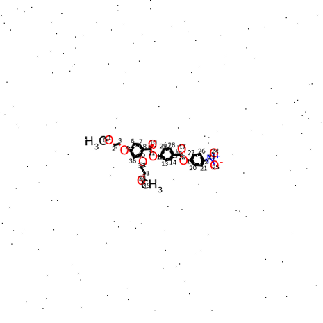 COCCOc1ccc(C(=O)Oc2ccc(C(=O)Oc3ccc([N+](=O)[O-])cc3)cc2)c(OCCOC)c1